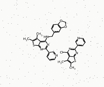 Cc1sc2nc(-c3cccnc3)nc(Cl)c2c1C.Cc1sc2nc(-c3cccnc3)nc(NCc3ccc4c(c3)OCO4)c2c1C